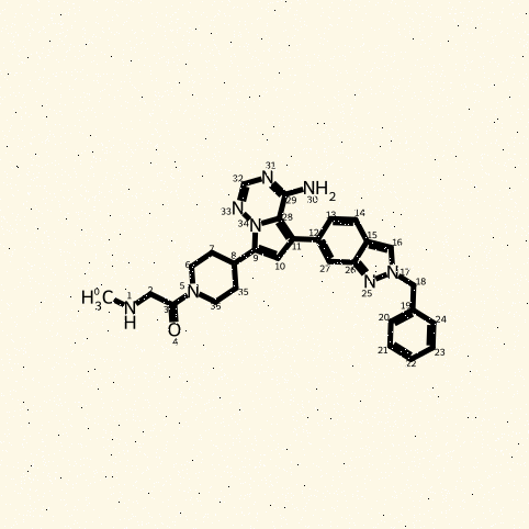 CNCC(=O)N1CCC(c2cc(-c3ccc4cn(Cc5ccccc5)nc4c3)c3c(N)ncnn23)CC1